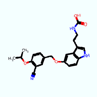 CC(C)Oc1ccc(COc2ccc3[nH]cc(CCNC(=O)O)c3c2)cc1C#N